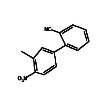 Cc1cc(-c2ccccc2C#N)ccc1[N+](=O)[O-]